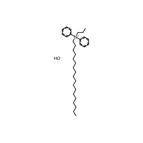 CCCCCCCCCCCCCCCCCC[N+](CCC)(c1ccccc1)c1ccccc1.[OH-]